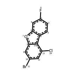 Fc1ccc2c(c1)oc1cc(Br)cc(Cl)c12